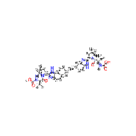 COC(=O)N[C@H](C(=O)N1[C@@H]2C[C@@H]2C[C@H]1c1nc2ccc3cc(C#Cc4ccc5[nH]c([C@@H]6C[C@H]7C[C@H]7N6C(=O)[C@H](C(C)C)N(C)C(=O)O)nc5c4)ccc3c2[nH]1)C(C)C